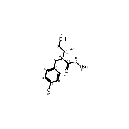 C[C@@H](CO)N(Cc1ccc(Cl)cc1)C(=O)OC(C)(C)C